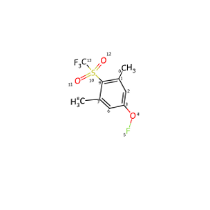 Cc1cc(OF)cc(C)c1S(=O)(=O)C(F)(F)F